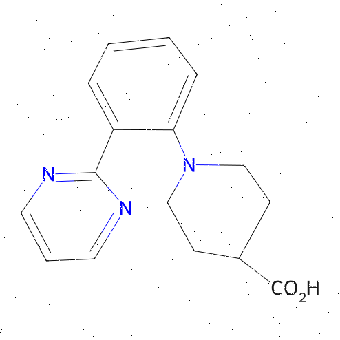 O=C(O)C1CCN(c2ccccc2-c2ncccn2)CC1